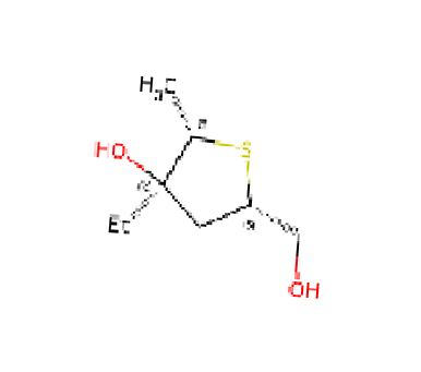 CC[C@@]1(O)C[C@@H](CO)S[C@H]1C